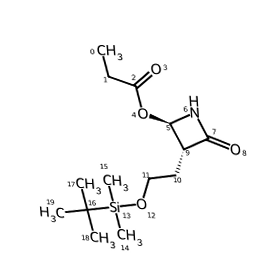 CCC(=O)O[C@H]1NC(=O)[C@@H]1CCO[Si](C)(C)C(C)(C)C